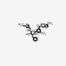 CCn1cc(CNC[C@@H](O)[C@H](Cc2ccccc2)NC(=O)c2cc(C)cc(C(=O)N(C)Cc3nc(C)cs3)c2)cn1